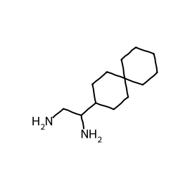 NCC(N)C1CCC2(CCCCC2)CC1